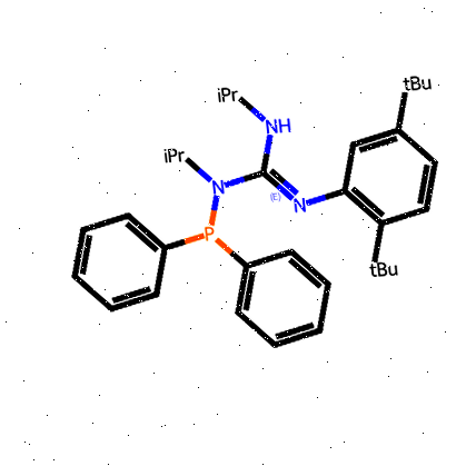 CC(C)N/C(=N\c1cc(C(C)(C)C)ccc1C(C)(C)C)N(C(C)C)P(c1ccccc1)c1ccccc1